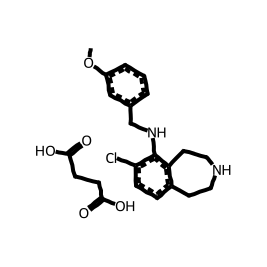 COc1cccc(CNc2c(Cl)ccc3c2CCNCC3)c1.O=C(O)CCC(=O)O